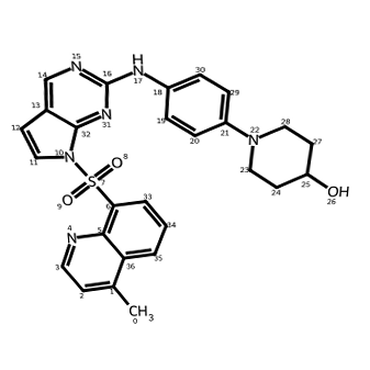 Cc1ccnc2c(S(=O)(=O)n3ccc4cnc(Nc5ccc(N6CCC(O)CC6)cc5)nc43)cccc12